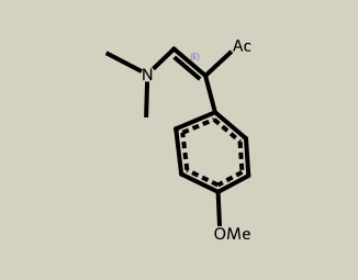 COc1ccc(/C(=C\N(C)C)C(C)=O)cc1